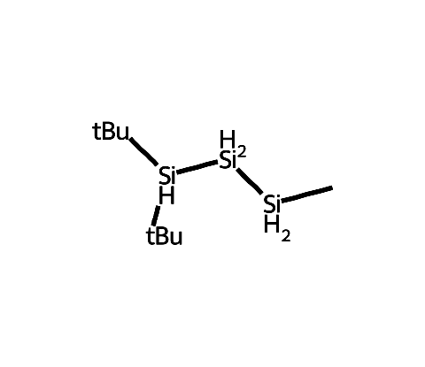 C[SiH2][SiH2][SiH](C(C)(C)C)C(C)(C)C